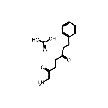 NCC(=O)CCC(=O)OCc1ccccc1.O=[PH](O)O